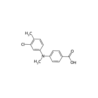 Cc1ccc(N(C)c2ccc(C(=O)O)cc2)cc1Cl